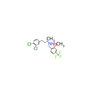 COc1cc(C(F)(F)F)ccc1CNC(C)CCc1ccc(Cl)c(Cl)c1